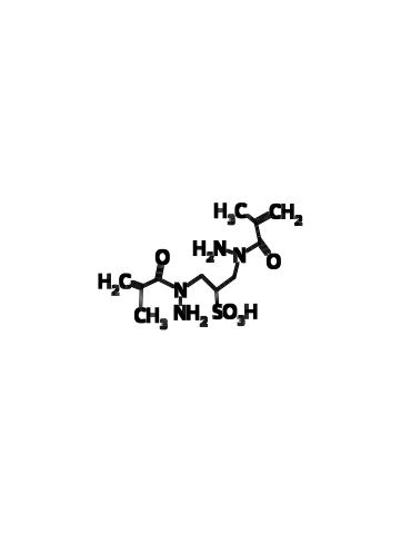 C=C(C)C(=O)N(N)CC(CN(N)C(=O)C(=C)C)S(=O)(=O)O